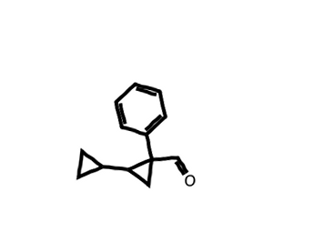 O=CC1(c2ccccc2)CC1C1CC1